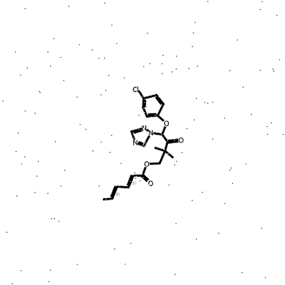 C/C=C/C=C/C(=O)OCC(C)(C)C(=O)C(Oc1ccc(Cl)cc1)n1cncn1